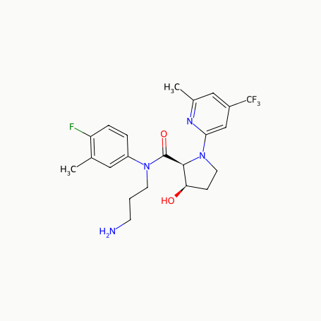 Cc1cc(C(F)(F)F)cc(N2CC[C@@H](O)[C@H]2C(=O)N(CCCN)c2ccc(F)c(C)c2)n1